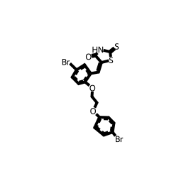 O=C1NC(=S)SC1=Cc1cc(Br)ccc1OCCOc1ccc(Br)cc1